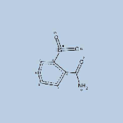 NC(=O)c1ccccc1[SH](=O)=O